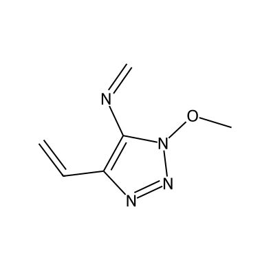 C=Cc1nnn(OC)c1N=C